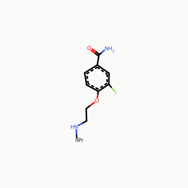 CCCNCCOc1ccc(C(N)=O)cc1F